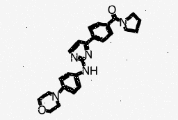 O=C(c1ccc(-c2ccnc(Nc3ccc(N4CCOCC4)cc3)n2)cc1)N1CCCC1